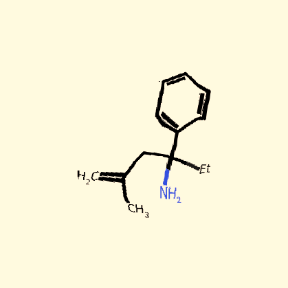 C=C(C)CC(N)(CC)c1c[c]ccc1